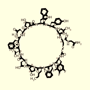 CCCC[C@H]1C(=O)N2C[C@H](O)C[C@@H]2C(=O)N[C@@H](CC(=O)O)C(=O)N[C@@H](C(C)C)C(=O)N(C)[C@@H](Cc2ccccc2)C(=O)N[C@@H](CC(N)=O)C(=O)N2C[C@H](O)C[C@H]2C(=O)N[C@@H](Cc2c[nH]c3ccccc23)C(=O)N[C@@H](Cc2ccc(O)cc2)C(=O)N[C@@H](CC(C)C)C(=O)N[C@H](C(=O)NCC(N)=O)CSCC(=O)N[C@@H](Cc2cc(F)c(F)c(F)c2)C(=O)N(C)[C@@H](Cc2ccccc2)C(=O)N1C